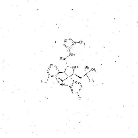 Cn1cccc1NC(=O)[C@@H]1N[C@@H](CC(C)(C)C)[C@@]2(C(=O)Nc3cc(Cl)ccc32)[C@H]1c1cccc(CI)c1F